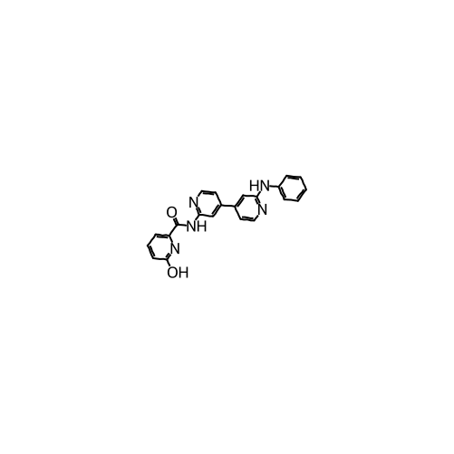 O=C(Nc1cc(-c2ccnc(Nc3ccccc3)c2)ccn1)c1cccc(O)n1